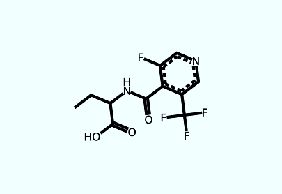 CCC(NC(=O)c1c(F)cncc1C(F)(F)F)C(=O)O